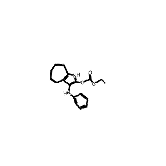 CCOC(=O)Oc1[nH]c2c(c1Nc1ccccc1)CCCCC2